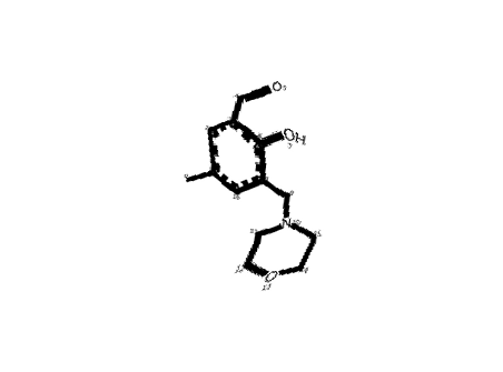 Cc1cc(C=O)c(O)c(CN2CCOCC2)c1